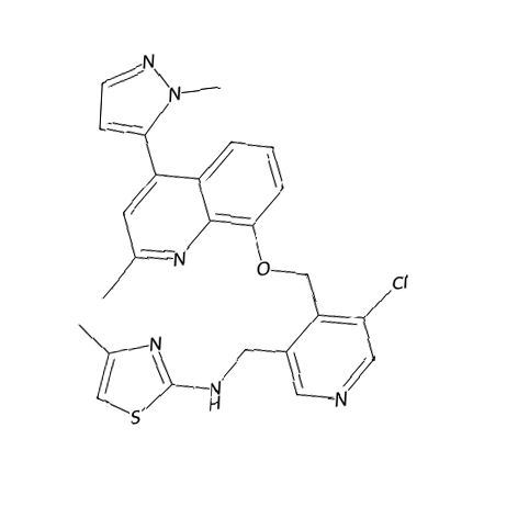 Cc1csc(NCc2cncc(Cl)c2COc2cccc3c(-c4ccnn4C)cc(C)nc23)n1